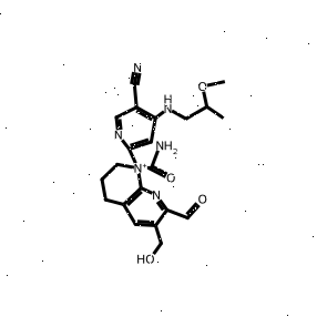 COC(C)CNc1cc([N+]2(C(N)=O)CCCc3cc(CO)c(C=O)nc32)ncc1C#N